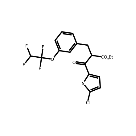 CCOC(=O)C(Cc1cccc(OC(F)(F)C(F)F)c1)C(=O)c1ccc(Cl)s1